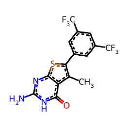 Cc1c(-c2cc(C(F)(F)F)cc(C(F)(F)F)c2)sc2nc(N)[nH]c(=O)c12